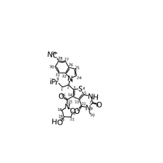 CC(C)CC(c1sc2[nH]c(=O)n(C)c(=O)c2c1C(=O)N1C[C@H](O)CO1)n1ccc2cc(C#N)ccc21